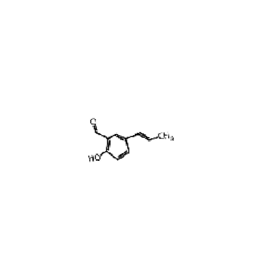 CC=Cc1ccc(O)c(C=O)c1